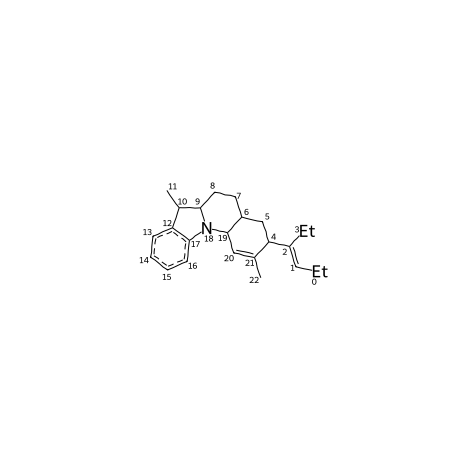 CC/C=C(\CC)C1CC2CCC3C(C)c4ccccc4N3C2C=C1C